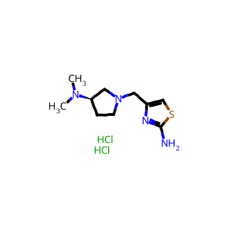 CN(C)[C@@H]1CCN(Cc2csc(N)n2)C1.Cl.Cl